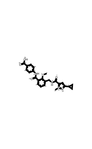 COc1c(CNC(=O)c2cc(C3CC3)nn2C)cccc1C(=O)Nc1ccc(C(=O)O)cc1